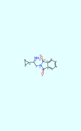 NC(CN1C(=O)c2ccccc2C1=O)C1CC1